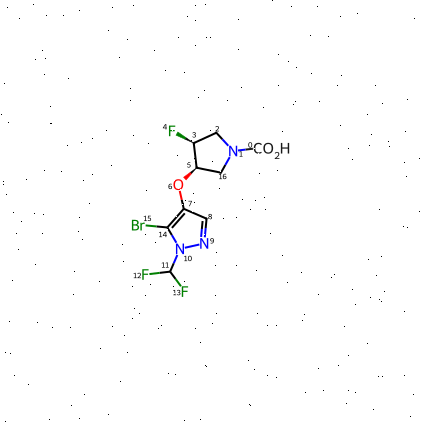 O=C(O)N1C[C@H](F)[C@H](Oc2cnn(C(F)F)c2Br)C1